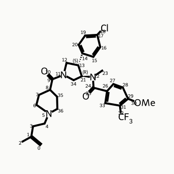 C=C(C)CCN1CCC(C(=O)N2C[C@H](c3ccc(Cl)cc3)[C@@H](N(C)C(=O)c3ccc(OC)c(C(F)(F)F)c3)C2)CC1